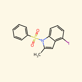 Cc1cc2c(I)cccc2n1S(=O)(=O)c1ccccc1